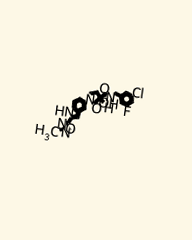 Cc1noc(-c2cc3cc(N4CCC(O)(C(=O)NCc5cc(F)cc(Cl)c5)C4=O)ccc3[nH]2)n1